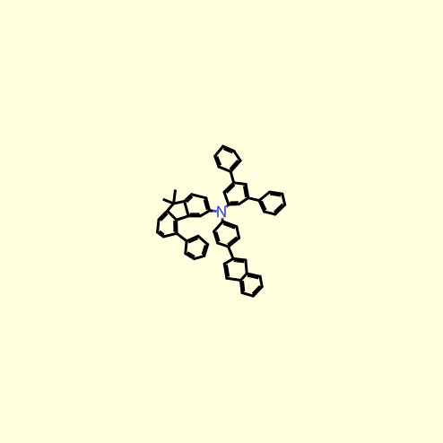 CC1(C)c2ccc(N(c3ccc(-c4ccc5ccccc5c4)cc3)c3cc(-c4ccccc4)cc(-c4ccccc4)c3)cc2-c2c(-c3ccccc3)cccc21